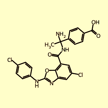 CC(N)(NC(=O)c1cc(Cl)cc2nc(Nc3ccc(Cl)cc3)oc12)c1ccc(C(=O)O)cc1